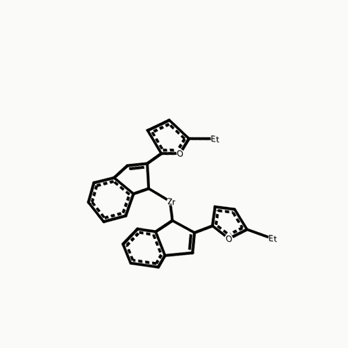 CCc1ccc(C2=Cc3ccccc3[CH]2[Zr][CH]2C(c3ccc(CC)o3)=Cc3ccccc32)o1